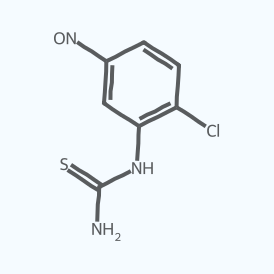 NC(=S)Nc1cc(N=O)ccc1Cl